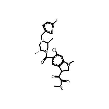 C[C@@H]1CN(Cc2ccc(F)cc2)[C@@H](C)CN1C(=O)c1cc2c(cc1Cl)N(C)CC2C(=O)C(=O)N(C)C